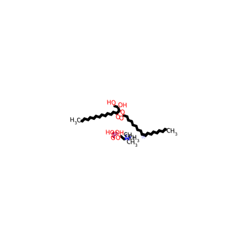 CCCCCCCC/C=C\CCCCCCCC(=O)OC(C(=O)CCCCCCCCCCCCC)C(O)CO.C[N+](C)(C)CCOP(=O)(O)O